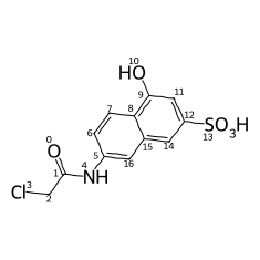 O=C(CCl)Nc1ccc2c(O)cc(S(=O)(=O)O)cc2c1